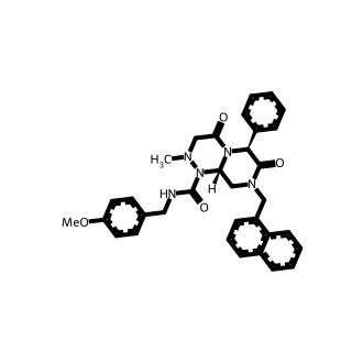 COc1ccc(CNC(=O)N2[C@H]3CN(Cc4cccc5ccccc45)C(=O)[C@H](c4ccccc4)N3C(=O)CN2C)cc1